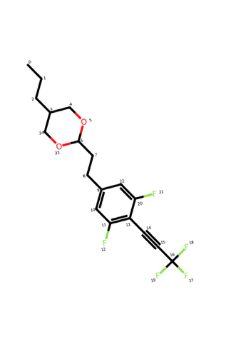 CCCC1COC(CCc2cc(F)c(C#CC(F)(F)F)c(F)c2)OC1